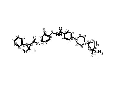 [2H]C1([2H])C(C(=O)Nc2ccc(CNC(=O)c3ccc(N4CCN(C(=O)OC(C)(C)C)CC4)cc3)c(F)c2)C1c1cccnc1